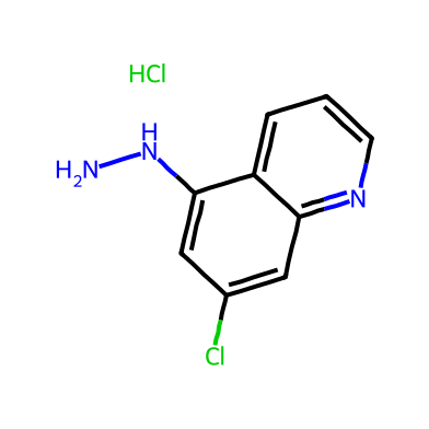 Cl.NNc1cc(Cl)cc2ncccc12